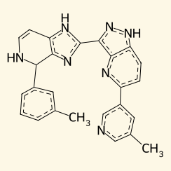 Cc1cncc(-c2ccc3[nH]nc(-c4nc5c([nH]4)C=CNC5c4cccc(C)c4)c3n2)c1